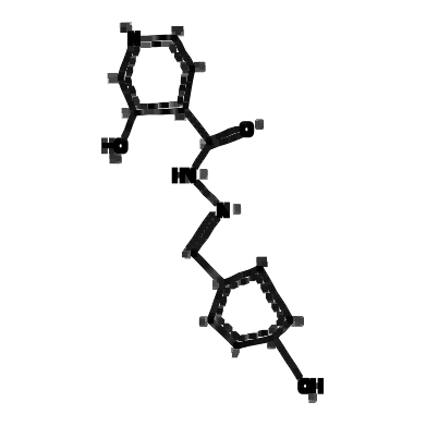 O=C(NN=Cc1ccc(O)cc1)c1ccncc1O